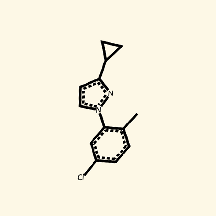 Cc1ccc(Cl)cc1-n1ccc(C2CC2)n1